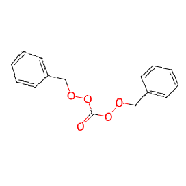 O=C(OOCc1ccccc1)OOCc1ccccc1